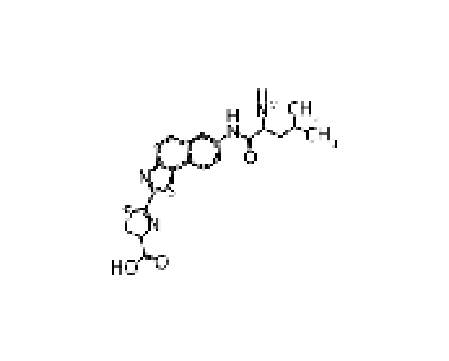 CC(C)C[C@H](N)C(=O)Nc1ccc2c(ccc3nc(C4=NC(C(=O)O)CS4)sc32)c1